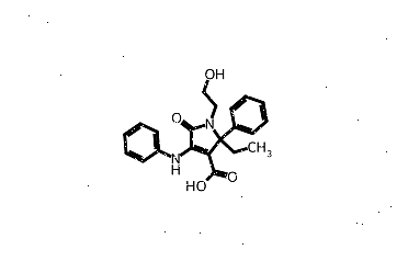 CCC1(c2ccccc2)C(C(=O)O)=C(Nc2ccccc2)C(=O)N1CCO